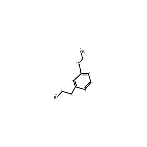 FC(F)(F)COc1cccc(CCBr)c1